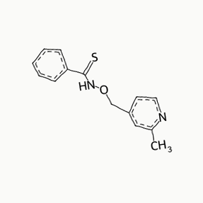 Cc1cc(CONC(=S)c2ccccc2)ccn1